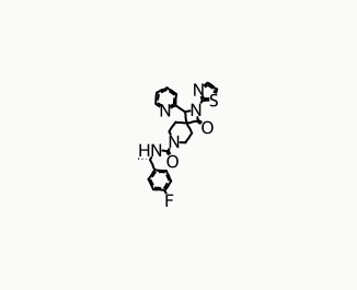 C[C@H](NC(=O)N1CCC2(CC1)C(=O)N(c1nccs1)C2c1ccccn1)c1ccc(F)cc1